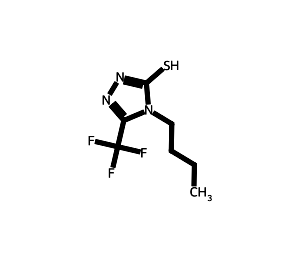 CCCCn1c(S)nnc1C(F)(F)F